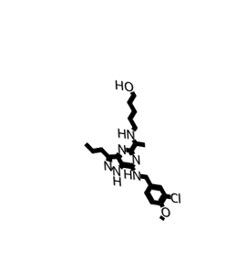 CCCc1n[nH]c2c(NCc3ccc(OC)c(Cl)c3)nc(C(C)NCCCCCO)nc12